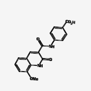 COc1cccc2cc(C(=O)Nc3ccc(C(=O)O)cc3)c(=O)[nH]c12